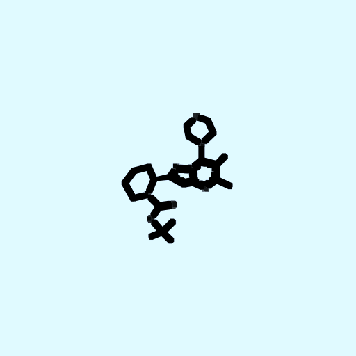 Cc1nc2cc([C@@H]3CCCCN3C(=O)OC(C)(C)C)nn2c(N2CCOCC2)c1C